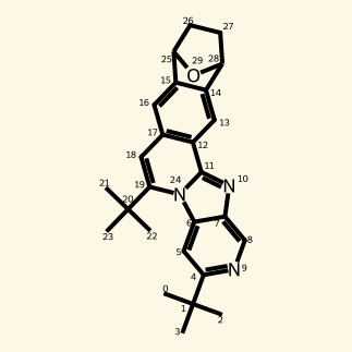 CC(C)(C)c1cc2c(cn1)nc1c3cc4c(cc3cc(C(C)(C)C)n21)C1CCC4O1